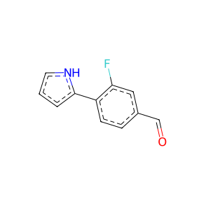 O=Cc1ccc(-c2ccc[nH]2)c(F)c1